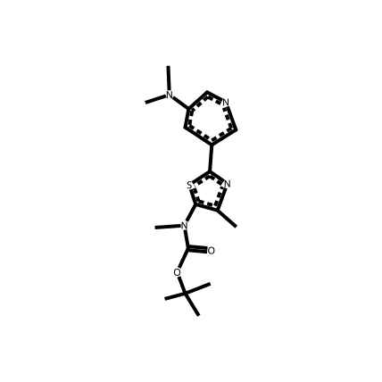 Cc1nc(-c2cncc(N(C)C)c2)sc1N(C)C(=O)OC(C)(C)C